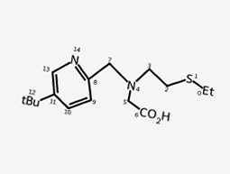 CCSCCN(CC(=O)O)Cc1ccc(C(C)(C)C)cn1